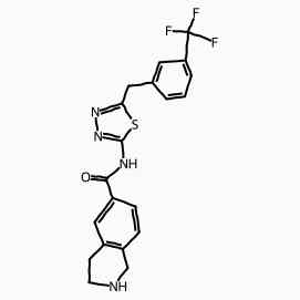 O=C(Nc1nnc(Cc2cccc(C(F)(F)F)c2)s1)c1ccc2c(c1)CCNC2